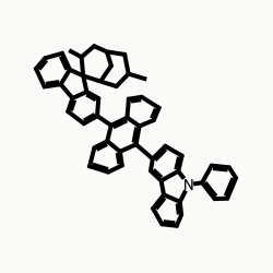 CC1CC2CC(C)C3(c4ccccc4-c4ccc(-c5c6ccccc6c(-c6ccc7c(c6)c6ccccc6n7-c6ccccc6)c6ccccc56)cc43)C(C1)C2